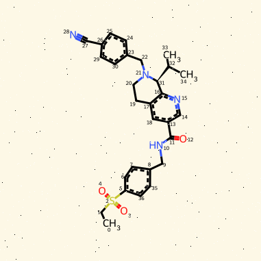 CCS(=O)(=O)c1ccc(CNC(=O)c2cnc3c(c2)CCN(Cc2ccc(C#N)cc2)[C@H]3C(C)C)cc1